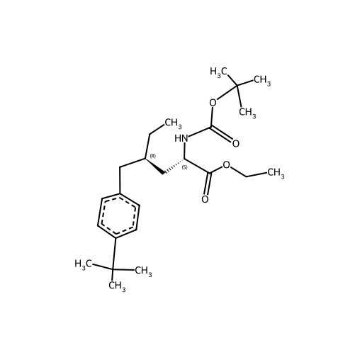 CCOC(=O)[C@H](C[C@H](CC)Cc1ccc(C(C)(C)C)cc1)NC(=O)OC(C)(C)C